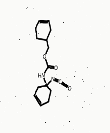 O=C=NC1(NC(=O)OCC2CC=CCC2)CC=CCC1